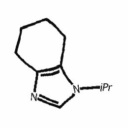 CC(C)n1cnc2c1CCCC2